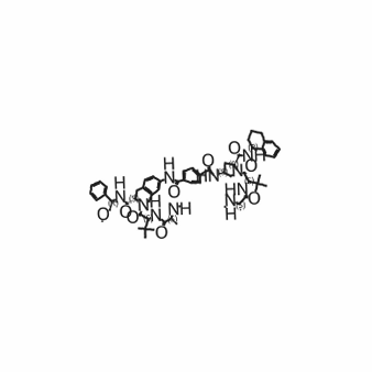 CN[C@@H](C)C(=O)N[C@H](C(=O)N1Cc2cc(NC(=O)c3ccc(C(=O)N[C@H]4C[C@@H](C(=O)N[C@@H]5CCCc6ccccc65)N(C(=O)[C@@H](NC(=O)[C@H](C)NC)C(C)(C)C)C4)cc3)ccc2C[C@H]1C(=O)N[C@@H](COC)c1ccccc1)C(C)(C)C